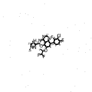 CC(Oc1cc(-c2ccc(F)c(Cl)c2F)c2ncnc(N)c2c1OCc1ncn(C)n1)C(F)F